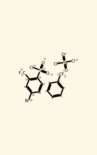 FC(F)(F)c1ccccc1.O=S(=O)(Cl)Cl.O=S(=O)(Cl)c1ccc(Br)cc1C(F)(F)F